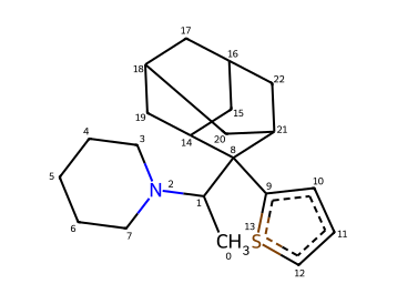 CC(N1CCCCC1)C1(c2cccs2)C2CC3CC(C2)CC1C3